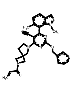 C=CC(=O)N1CC2(CCN(c3nc(OCc4cccnc4)nc(-c4c(C)ccc5cnn(C)c45)c3C#N)C2)C1